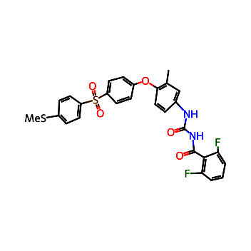 CSc1ccc(S(=O)(=O)c2ccc(Oc3ccc(NC(=O)NC(=O)c4c(F)cccc4F)cc3C)cc2)cc1